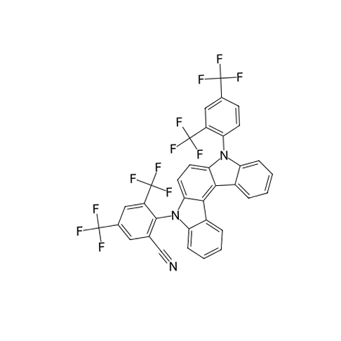 N#Cc1cc(C(F)(F)F)cc(C(F)(F)F)c1-n1c2ccccc2c2c3c4ccccc4n(-c4ccc(C(F)(F)F)cc4C(F)(F)F)c3ccc21